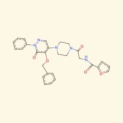 O=C(NCC(=O)N1CCN(c2cnn(-c3ccccc3)c(=O)c2OCc2ccccc2)CC1)c1ccco1